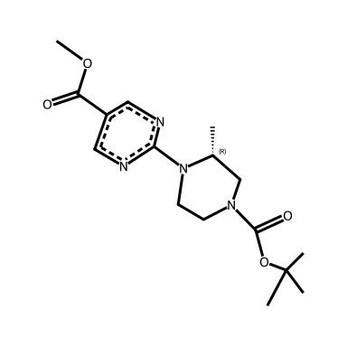 COC(=O)c1cnc(N2CCN(C(=O)OC(C)(C)C)C[C@H]2C)nc1